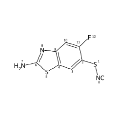 [C-]#[N+]Sc1cc2sc(N)nc2cc1F